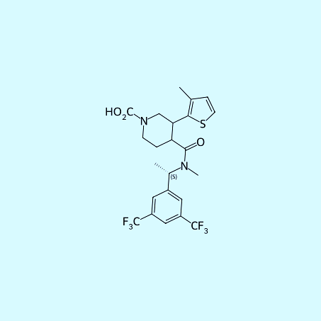 Cc1ccsc1C1CN(C(=O)O)CCC1C(=O)N(C)[C@@H](C)c1cc(C(F)(F)F)cc(C(F)(F)F)c1